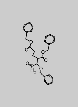 O=[PH2]C(OCc1ccccc1)C(CCC(=O)OCc1ccccc1)C(=O)OCc1ccccc1